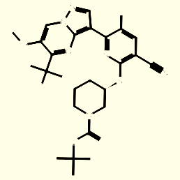 COc1cn2ncc(-c3nc(N[C@@H]4CCCN(C(=O)OC(C)(C)C)C4)c(C#N)cc3F)c2nc1C(C)(C)O